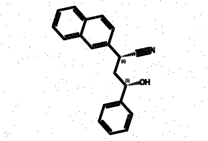 N#C[C@H](C[C@H](O)c1ccccc1)c1ccc2ccccc2c1